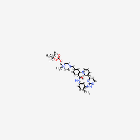 CCC(C)(C)OC(=O)OC[N+]1(C)CCN(Cc2ccc(C(=O)Nc3ccc(C)c(Nc4nccc(-c5cccnc5)n4)c3)cc2)CC1